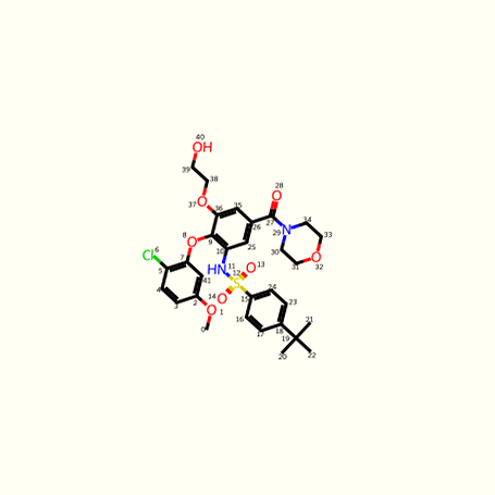 COc1ccc(Cl)c(Oc2c(NS(=O)(=O)c3ccc(C(C)(C)C)cc3)cc(C(=O)N3CCOCC3)cc2OCCO)c1